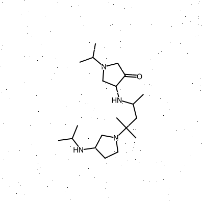 CC(C)NC1CCN(C(C)(C)CC(C)NC2CN(C(C)C)CC2=O)C1